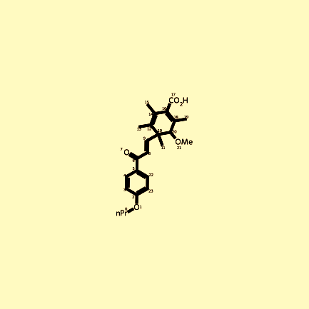 CCCOc1ccc(C(=O)C=CC2(C)C(C)=C(C)C(C(=O)O)=C(C)C2OC)cc1